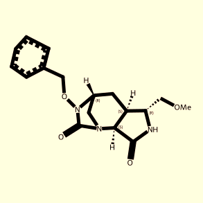 COC[C@@H]1NC(=O)[C@@H]2[C@H]1C[C@@H]1CN2C(=O)N1OCc1ccccc1